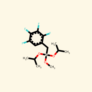 CO[Si](Cc1cc(F)c(F)c(F)c1F)(OC(C)C)OC(C)C